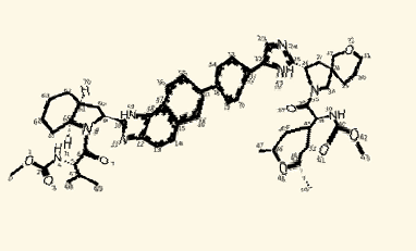 COC(=O)N[C@H](C(=O)N1[C@H](c2nc3ccc4cc(-c5ccc(-c6cnc([C@@H]7C[C@@]8(CCCOC8)CN7C(=O)[C@@H](NC(=O)OC)C7C[C@H](C)O[C@@H](C)C7)[nH]6)cc5)ccc4c3[nH]2)C[C@@H]2CCCC[C@@H]21)C(C)C